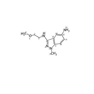 COCCNc1nn(C)c2ccc(N)cc12